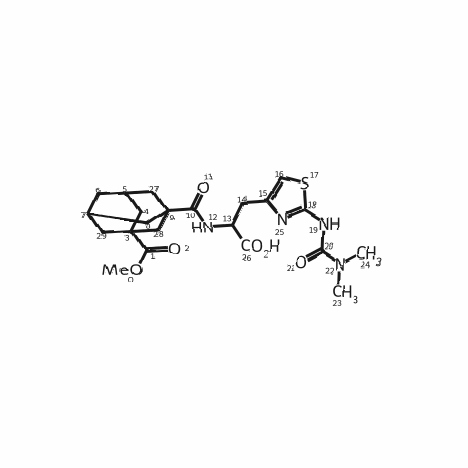 COC(=O)C12CC3CC(CC(C(=O)NC(Cc4csc(NC(=O)N(C)C)n4)C(=O)O)(C3)C1)C2